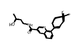 CC(O)CCNC(=O)c1cnc2c(C3=CCC(F)(F)CC3)cccc2c1